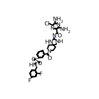 Nc1nc(N)c(C(=O)/N=C2\NCC3(CCN(C(=O)c4cccc(S(=O)(=O)NCc5ccc(F)cc5F)c4)CC3)N2)nc1Cl